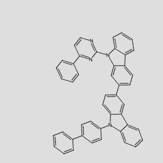 c1ccc(-c2ccc(-n3c4ccccc4c4cc(-c5ccc6c7ccccc7n(-c7nccc(-c8ccccc8)n7)c6c5)ccc43)cc2)cc1